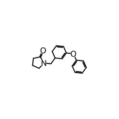 O=C1CCCN1CC1C=C(Oc2ccccc2)C=CC1